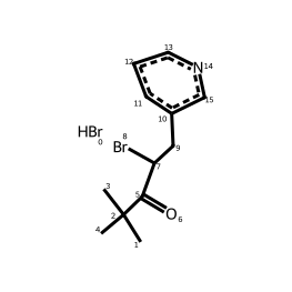 Br.CC(C)(C)C(=O)C(Br)Cc1cccnc1